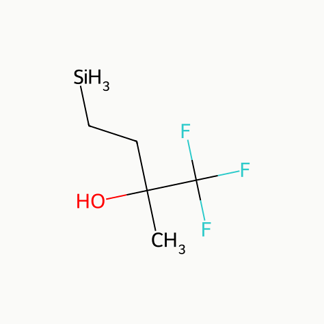 CC(O)(CC[SiH3])C(F)(F)F